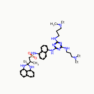 CCN(C)CCCNc1nc(NCCCN(CC)CC)nc(Nc2cccc3c(NS(=O)(=O)CC(C)C4(CC)Nc5cccc6cccc(c56)N4)cccc23)n1